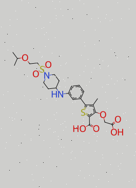 Cc1c(-c2cccc(NC3CCN(S(=O)(=O)CCOC(C)C)CC3)c2)sc(C(=O)O)c1OCC(=O)O